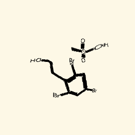 CS(=O)(=O)O.OCCc1c(Br)cc(Br)cc1Br